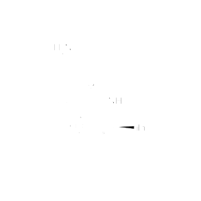 CC(C)[C@](Cl)(NC(=O)CN)C(=O)O